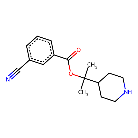 CC(C)(OC(=O)c1cccc(C#N)c1)C1CCNCC1